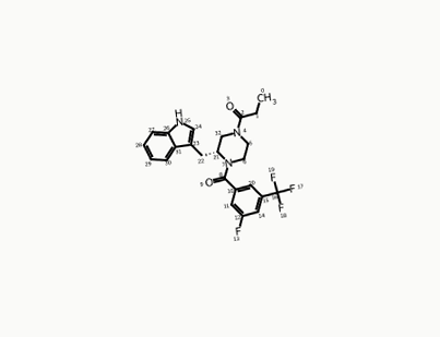 CCC(=O)N1CCN(C(=O)c2cc(F)cc(C(F)(F)F)c2)[C@H](Cc2c[nH]c3ccccc23)C1